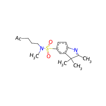 CC(=O)CCCN(C)S(=O)(=O)c1ccc2c(c1)C(C)(C)C(C)=N2